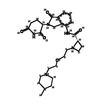 CC1CCN(CCOCCN2CC[C@H]2C(=O)Nc2cccc3c2CN(C2CCC(=O)NC2=O)C3=O)CC1